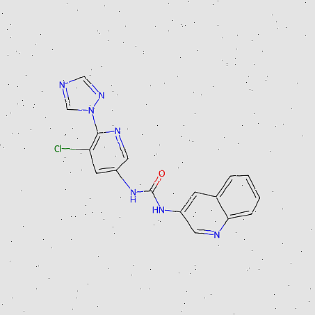 O=C(Nc1cnc(-n2cncn2)c(Cl)c1)Nc1cnc2ccccc2c1